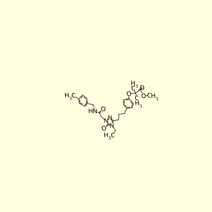 CCn1c(CCCc2ccc(OC(C)(C)C(=O)OC)cc2)nn(CC(=O)NCc2ccc(C)cc2)c1=O